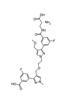 COCc1cn(CCOCc2cn(C)nc2-c2cc(F)cc(C(=O)O)c2)nc1-c1cc(F)cc(C(=O)NC[C@@H](N)C(=O)O)c1